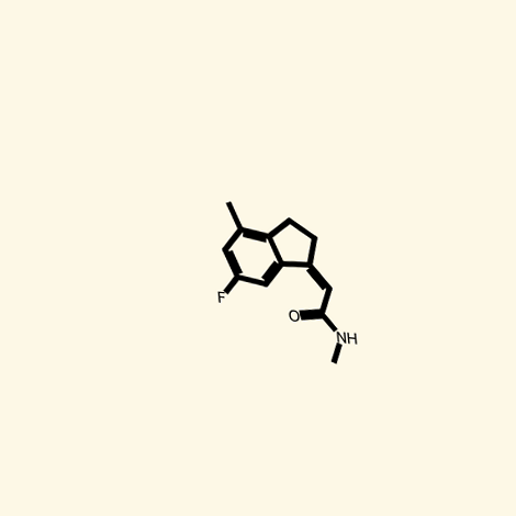 CNC(=O)/C=C1/CCc2c(C)cc(F)cc21